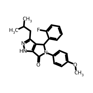 COc1ccc(N2C(=O)c3[nH]nc(CC(C)C)c3C2c2ccccc2F)cc1